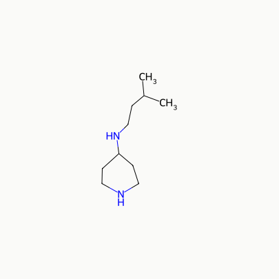 CC(C)CCNC1CCNCC1